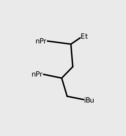 [CH2]CC(C)CC(CCC)CC(CC)CCC